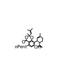 C=C(C)C1CCC(C)=CC1c1c(O)cc(CCCCC)c2c1OC(C)(C=C(C)C)OC2=O